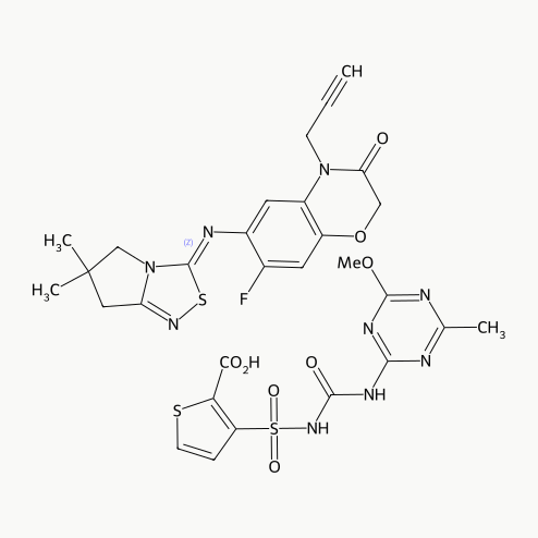 C#CCN1C(=O)COc2cc(F)c(/N=c3\snc4n3CC(C)(C)C4)cc21.COc1nc(C)nc(NC(=O)NS(=O)(=O)c2ccsc2C(=O)O)n1